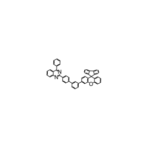 c1ccc(-c2nc(-c3ccc(-c4cccc(-c5ccc6c(c5)Oc5ccccc5C65c6ccccc6-c6ccccc65)c4)cc3)nc3ccccc23)cc1